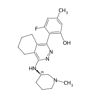 Cc1cc(O)c(-c2nnc(N[C@@H]3CCCN(C)C3)c3c2CCCC3)c(F)c1